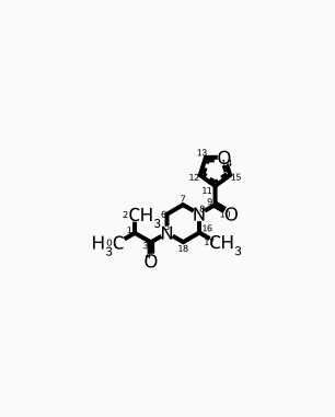 CC(C)C(=O)N1CCN(C(=O)c2ccoc2)C(C)C1